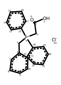 O=C(O)C[P+](Cc1ccccc1)(c1ccccc1)c1ccccc1.[Cl-]